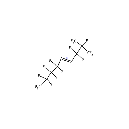 FC(F)(F)C(F)(F)C(F)(F)C(F)(F)/C=C/C(F)(F)C(F)(C(F)(F)F)C(F)(F)F